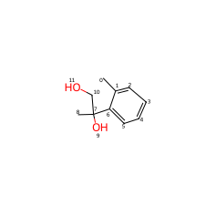 Cc1ccccc1C(C)(O)CO